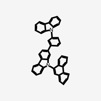 c1cc(-c2ccc3c4ccccc4n(-c4cc5ccccc5c5ccccc45)c3c2)cc(-n2c3ccccc3c3ccccc32)c1